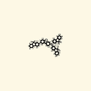 CC1(C)c2ccccc2-c2ccc(-c3ccc4oc5cc(N(c6ccc7c(c6)C(C)(C)c6ccccc6-7)c6ccc7c(c6)C(C)(C)c6ccccc6-7)ccc5c4c3)cc21